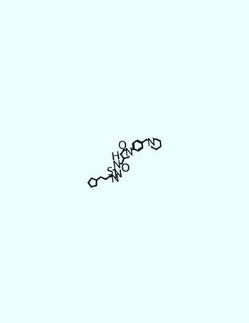 O=C(Nc1nnc(CCC2CCCC2)s1)C1CC(=O)N(c2ccc(CN3CCCCC3)cc2)C1